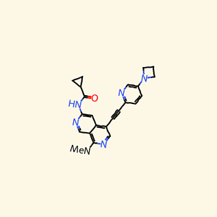 CNc1ncc(C#Cc2ccc(N3CCC3)cn2)c2cc(NC(=O)C3CC3)ncc12